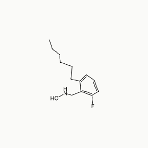 CCCCCCc1cccc(F)c1CNO